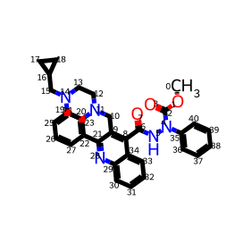 COC(=O)N(NC(=O)c1c(CN2CCN(CC3CC3)CC2)c(-c2ccccc2)nc2ccccc12)c1ccccc1